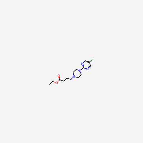 CCOC(=O)CCCN1CCN(c2ncc(F)cn2)CC1